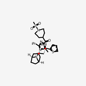 Cc1nnc(C(C)C)n1[C@@H]1C[C@H]2CC[C@@H](C1)N2CC[C@H](NC(=O)C1CCN(S(C)(=O)=O)CC1)c1cccs1